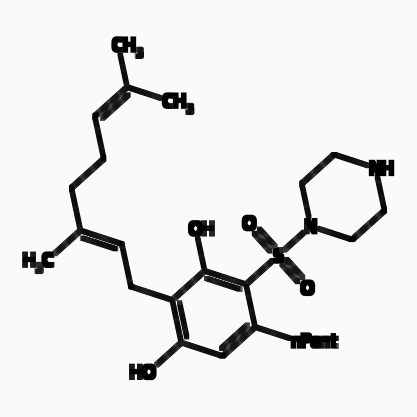 CCCCCc1cc(O)c(C/C=C(\C)CCC=C(C)C)c(O)c1S(=O)(=O)N1CCNCC1